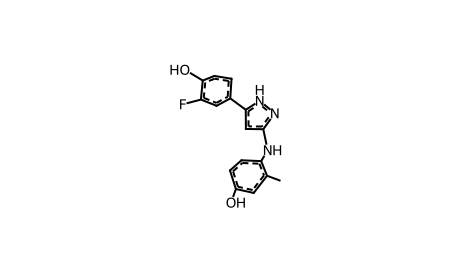 Cc1cc(O)ccc1Nc1cc(-c2ccc(O)c(F)c2)[nH]n1